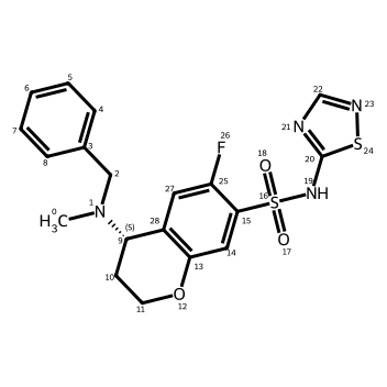 CN(Cc1ccccc1)[C@H]1CCOc2cc(S(=O)(=O)Nc3ncns3)c(F)cc21